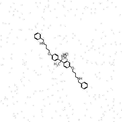 CC(C)(c1ccc(OCCCNCc2ccccc2)cc1)c1ccc(OCCCNCc2ccccc2)cc1.Cl.Cl